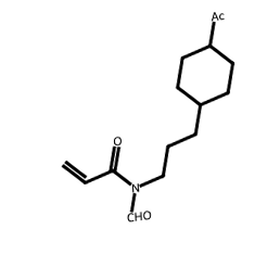 C=CC(=O)N(C=O)CCCC1CCC(C(C)=O)CC1